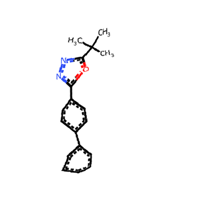 CC(C)(C)c1nnc(-c2ccc(-c3ccccc3)cc2)o1